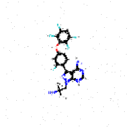 CC(C)(N)Cn1nc(-c2ccc(Oc3c(F)c(F)cc(F)c3F)cc2F)c2c(N)ncnc21